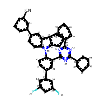 N#Cc1cccc(-c2ccc3c(c2)c2ccccc2n3-c2ccc(-c3cc(F)cc(F)c3)cc2-c2nc(-c3ccccc3)nc(-c3ccccc3)n2)c1